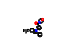 CC1CCc2c(cc(-c3ccccc3)n2-c2cccc(C(=O)N3CCOCC3)c2)C1